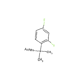 CC(=O)NC(C)(C)c1ccc(F)cc1F